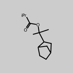 CC(C)C(=O)OC(C)(C)C1CC2CCC1C2